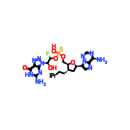 CC(C)CC[C@H]1C[C@H](c2cnc3c(N)ncnn23)O[C@@H]1COP(O)(=S)O[C@H](F)[C@@H](O)n1nnc2c(=O)[nH]c(N)nc21